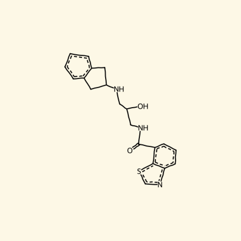 O=C(NCC(O)CNC1Cc2ccccc2C1)c1cccc2ncsc12